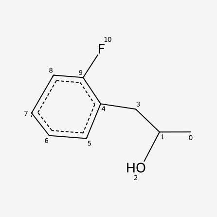 CC(O)Cc1cc[c]cc1F